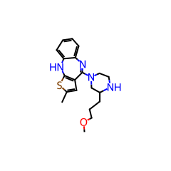 COCCCC1CN(C2=Nc3ccccc3Nc3sc(C)cc32)CCN1